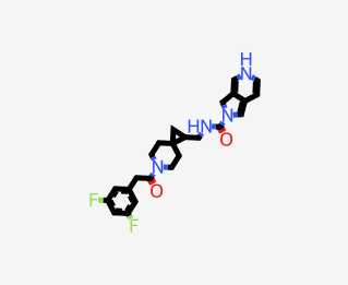 O=C(NCC1CC12CCN(C(=O)Cc1cc(F)cc(F)c1)CC2)N1C=C2C=CNC=C2C1